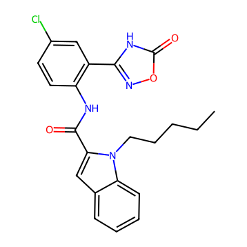 CCCCCn1c(C(=O)Nc2ccc(Cl)cc2-c2noc(=O)[nH]2)cc2ccccc21